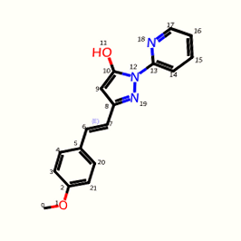 COc1ccc(/C=C/c2cc(O)n(-c3ccccn3)n2)cc1